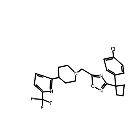 FC(F)(F)c1cccc(C2CCN(Cc3nc(C4(c5ccc(Cl)cc5)CCC4)no3)CC2)n1